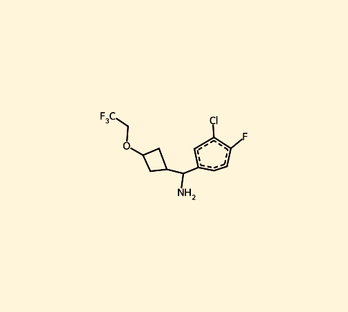 NC(c1ccc(F)c(Cl)c1)C1CC(OCC(F)(F)F)C1